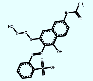 CC(=O)Nc1ccc2c(O)c(N=Nc3ccccc3S(=O)(=O)O)c(SOOO)cc2c1